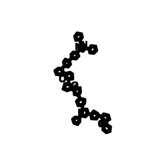 c1ccc(-c2cc(-c3ccc(-c4cccc5c4oc4ccccc45)cc3)cc(-c3ccc(-c4ccc5oc6c(-c7cccc8c7oc7cccc(-c9ccc(-c%10ccc(-c%11cc(-c%12ccccc%12)nc(-c%12ccccc%12)n%11)cc%10)cc9)c78)cccc6c5c4)cc3)n2)cc1